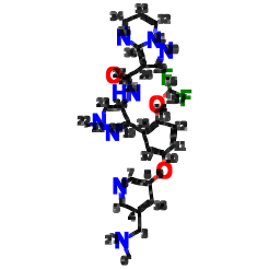 CN(C)Cc1cncc(Oc2ccc(OC(F)F)c(-c3nn(C)cc3NC(=O)c3cnn4cccnc34)c2)c1